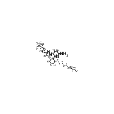 C=CCNCCCCCCc1ccccc1-c1nc(N)ccc1-n1ccc(OCC(C)(C)C(F)(F)F)n1